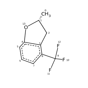 C[C@@H]1Cc2c(cccc2C(F)(F)F)O1